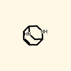 C1=C\CC2CN[C](C/1)CN2